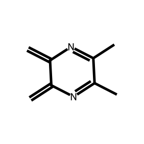 C=c1nc(C)c(C)nc1=C